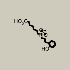 CS(=O)(=O)N(CC=Cc1ccccc1O)CCCCCCC(=O)O